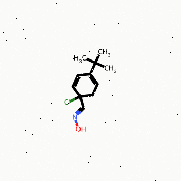 CC(C)(C)C1=CCC(Cl)(C=NO)C=C1